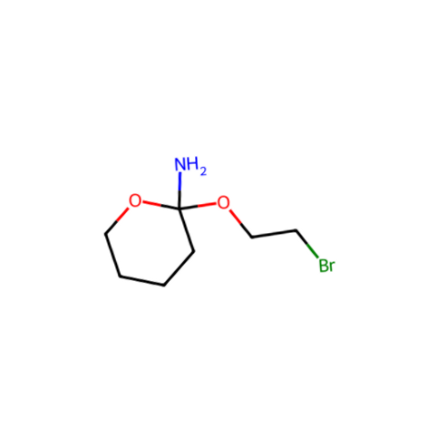 NC1(OCCBr)CCCCO1